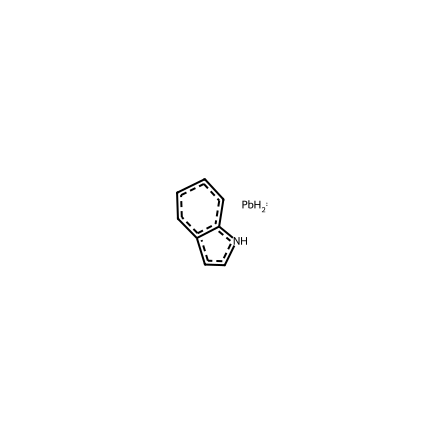 [PbH2].c1ccc2[nH]ccc2c1